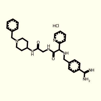 Cl.N=C(N)c1ccc(CNC(C(=O)NCC(=O)NC2CCN(Cc3ccccc3)CC2)c2ccccn2)cc1